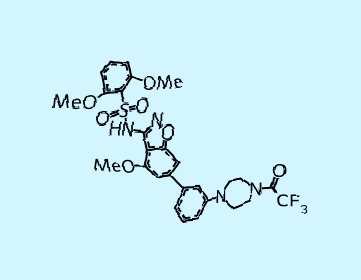 COc1cccc(OC)c1S(=O)(=O)Nc1noc2cc(-c3cccc(N4CCN(C(=O)C(F)(F)F)CC4)c3)cc(OC)c12